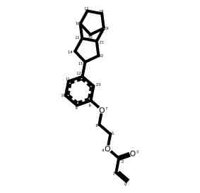 C=CC(=O)OCCOc1cccc(C2CC3C4CCC(C4)C3C2)c1